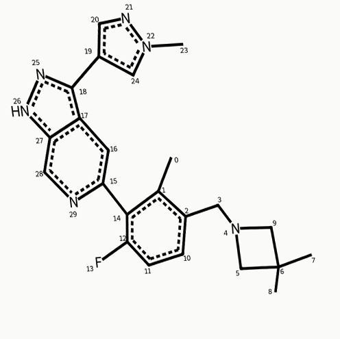 Cc1c(CN2CC(C)(C)C2)ccc(F)c1-c1cc2c(-c3cnn(C)c3)n[nH]c2cn1